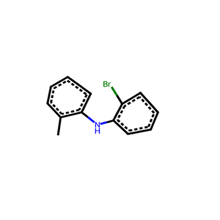 Cc1ccccc1Nc1ccccc1Br